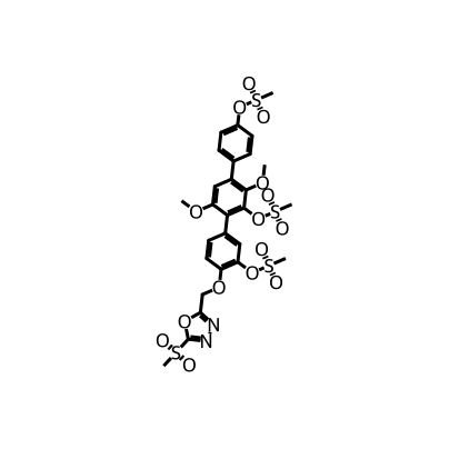 COc1cc(-c2ccc(OS(C)(=O)=O)cc2)c(OC)c(OS(C)(=O)=O)c1-c1ccc(OCc2nnc(S(C)(=O)=O)o2)c(OS(C)(=O)=O)c1